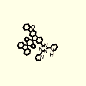 C1=CNC(c2nc(-c3ccc4c(c3)C3(c5cc6c(cc5-4)oc4ccccc46)c4ccccc4C4(c5ccccc5-c5ccccc54)c4ccccc43)nc(-c3ccccn3)n2)C=C1